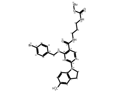 Cc1ccc2c(c1)CCN2c1ncc(C(=O)NCCCNC(=O)OC(C)(C)C)c(OCc2ccc(Br)cc2)n1